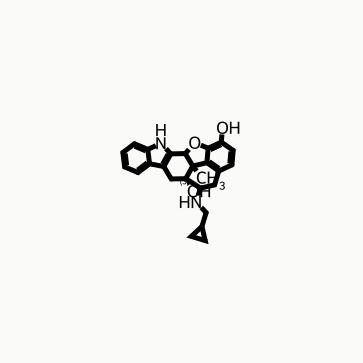 CC12c3c4ccc(O)c3OC1c1[nH]c3ccccc3c1C[C@@]2(O)C(NCC1CC1)C4